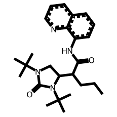 CCCC(C(=O)Nc1cccc2cccnc12)C1CN(C(C)(C)C)C(=O)N1C(C)(C)C